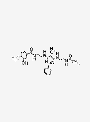 CC(=O)NCCNc1nc(-c2ccccc2)nc(NCCNC(=O)c2ccc(C)c(O)c2)c1C